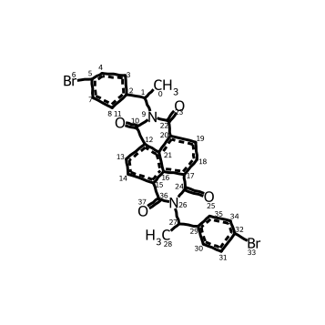 CC(c1ccc(Br)cc1)N1C(=O)c2ccc3c4c(ccc(c24)C1=O)C(=O)N(C(C)c1ccc(Br)cc1)C3=O